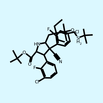 CCC(CC)(CC1NC(C(=O)OC(C)(C)C)C(c2cccc(Cl)c2F)C1(C#N)c1ccc(Cl)cc1F)C(C)(C)O[SiH2]C(C)(C)C